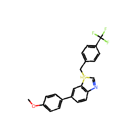 COc1ccc(-c2ccc3c(c2)[SH](Cc2ccc(C(F)(F)F)cc2)C=N3)cc1